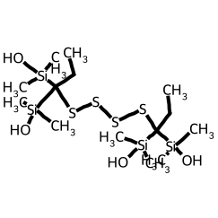 CCC(SSSSC(CC)([Si](C)(C)O)[Si](C)(C)O)([Si](C)(C)O)[Si](C)(C)O